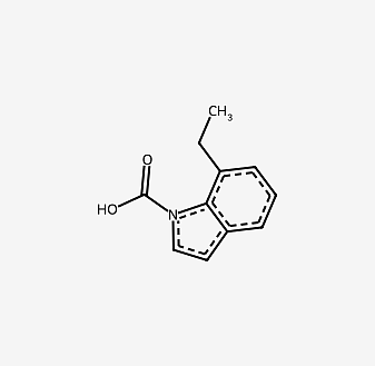 CCc1cccc2ccn(C(=O)O)c12